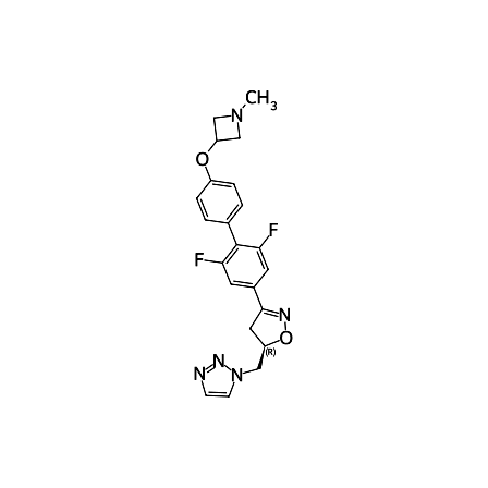 CN1CC(Oc2ccc(-c3c(F)cc(C4=NO[C@@H](Cn5ccnn5)C4)cc3F)cc2)C1